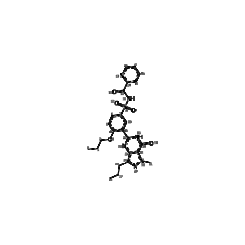 CCCOc1ccc(S(=O)(=O)NC(=O)c2ccccn2)cc1-c1nc2c(CCC)nn(C)c2c(=O)[nH]1